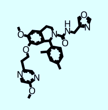 COc1cnc(CCOc2cc3c(cc2OC)CCN(C(=O)NCc2cocn2)C3c2ccc(C)cc2C)cn1